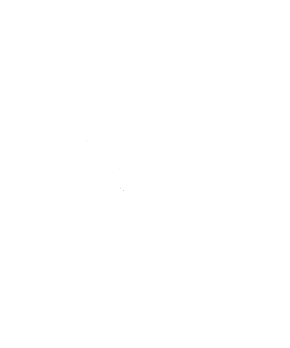 O=CC(=O)C1CCCN(c2ccc(I)cc2)C1